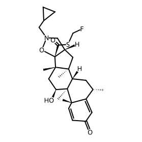 C[C@H]1C[C@@H]2[C@](C)([C@@H](O)C[C@@]3(C)[C@@]2(C)C[C@H]2CN(CC4CC4)O[C@]23C(=O)SCF)[C@@]2(C)C=CC(=O)C=C12